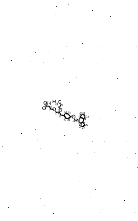 CCCOC(COCCC(=O)O)Cc1ccc(OCn2c3sccc3c3ccsc32)cc1